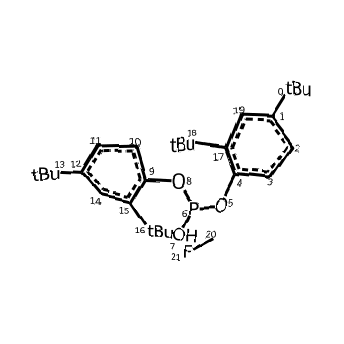 CC(C)(C)c1ccc(OP(O)Oc2ccc(C(C)(C)C)cc2C(C)(C)C)c(C(C)(C)C)c1.CF